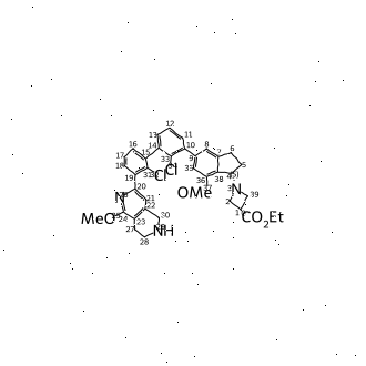 CCOC(=O)C1CN([C@H]2CCc3cc(-c4cccc(-c5cccc(-c6cc7c(c(OC)n6)CCNC7)c5Cl)c4Cl)cc(OC)c32)C1